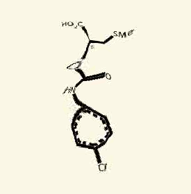 CSC[C@@H](OC(=O)Nc1ccc(Cl)cc1)C(=O)O